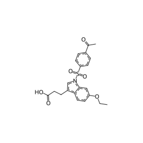 CCOc1ccc2c(CCC(=O)O)cn(S(=O)(=O)c3ccc(C(C)=O)cc3)c2c1